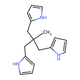 CC(Cc1ccc[nH]1)(Cc1ccc[nH]1)Cc1ccc[nH]1